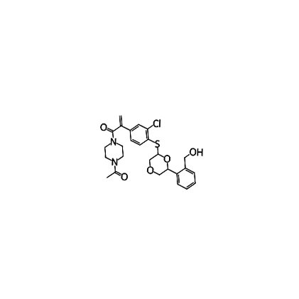 C=C(C(=O)N1CCN(C(C)=O)CC1)c1ccc(SC2COCC(c3ccccc3CO)O2)c(Cl)c1